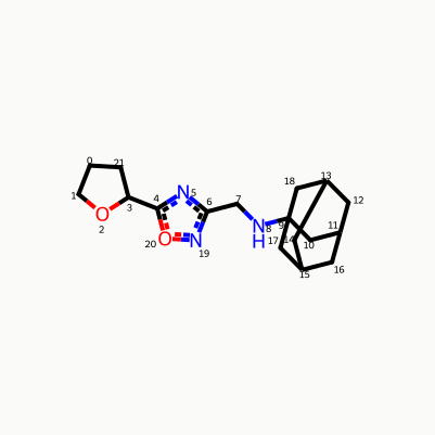 C1COC(c2nc(CNC34CC5CC(CC(C5)C3)C4)no2)C1